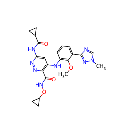 COc1c(Nc2cc(NC(=O)C3CC3)nnc2C(=O)NOC2CC2)cccc1-c1ncn(C)n1